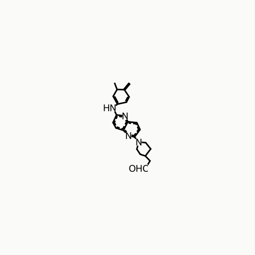 C=C1C=CC(Nc2ccc3nc(N4CCC(CC=O)CC4)ccc3n2)=CC1C